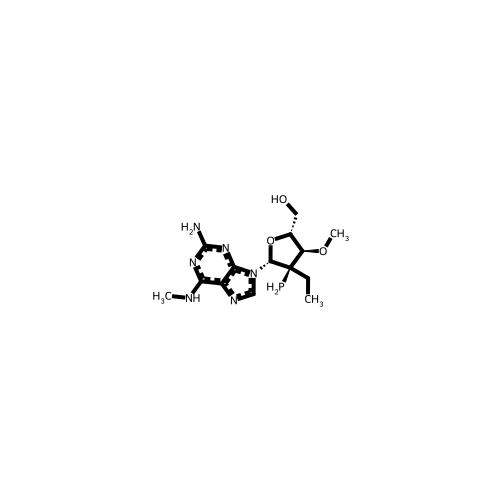 CC[C@@]1(P)[C@H](OC)[C@@H](CO)O[C@H]1n1cnc2c(NC)nc(N)nc21